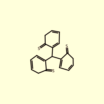 S=C1CC=CC=C1C(C1=CC=CCC1=S)C1=CC=CCC1=S